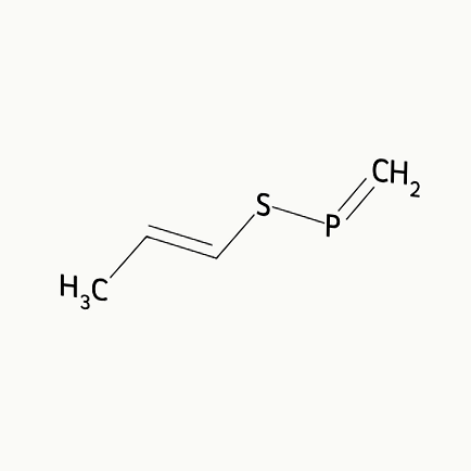 C=PSC=CC